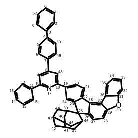 c1ccc(-c2ccc(-c3cc(-c4ccccc4)nc(-c4ccc5c(c4)C4(c6ccc7oc8ccccc8c7c6-5)C5CC6CC(C5)CC4C6)c3)cc2)cc1